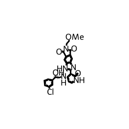 COCCN1C(=O)c2cc3nc(-c4c(NC[C@@H](O)c5cccc(Cl)c5)cc[nH]c4=O)[nH]c3cc2C1=O